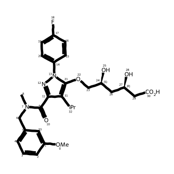 COc1cccc(CN(C)C(=O)c2nn(-c3ccc(F)cc3)c(OC[C@@H](O)C[C@@H](O)CC(=O)O)c2C(C)C)c1